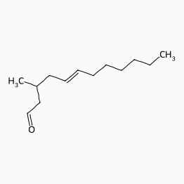 CCCCCCC=CCC(C)CC=O